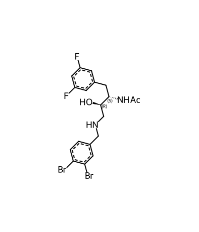 CC(=O)N[C@@H](Cc1cc(F)cc(F)c1)[C@H](O)CNCc1ccc(Br)c(Br)c1